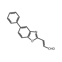 O=C/C=C/c1nc2cc(-c3ccccc3)ccc2o1